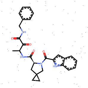 CC(NC(=O)[C@@H]1CC2(CC2)CN1C(=O)c1cc2ccccc2[nH]1)C(=O)C(=O)NCc1ccccc1